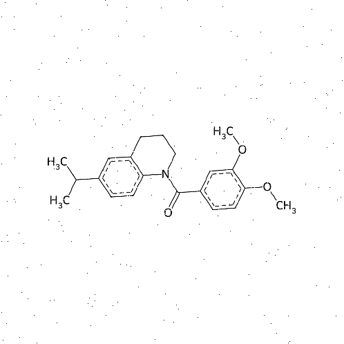 COc1ccc(C(=O)N2CCCc3cc(C(C)C)ccc32)cc1OC